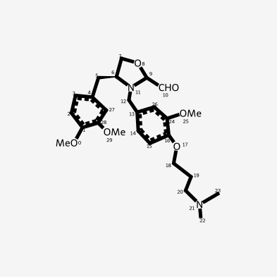 COc1ccc(C[C@H]2COC(C=O)N2Cc2ccc(OCCCN(C)C)c(OC)c2)cc1OC